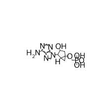 Nc1ncnc2c1ncn2[C@@H]1[C@H]2C[C@@]2(OCP(=O)(O)O)C[C@@H]1O